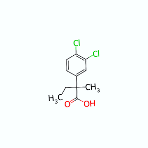 CCC(C)(C(=O)O)c1ccc(Cl)c(Cl)c1